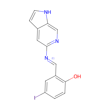 Oc1ccc(I)cc1/C=N/c1cc2cc[nH]c2cn1